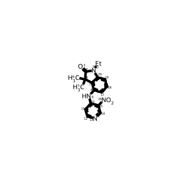 CCN1C(=O)C(C)(C)c2c(Nc3ccncc3[N+](=O)[O-])cccc21